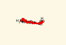 NC(=O)c1ccccc1Nc1nc(Nc2ccc(C3CCN(C(=O)NC4CCN(C5CN(CCC#Cc6ccc7c(c6)CN(C6CCC(=O)NC6=O)C7=O)C5)CC4)CC3)cc2)ncc1Cl